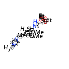 CCO[Si](CCCNC[SiH2]C(CCCCCN1CCN(C)CC1)[Si](OC)(OC)OC)(OCC)OCC